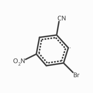 N#Cc1[c]c(Br)cc([N+](=O)[O-])c1